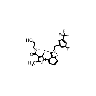 Cc1nn(-c2cccc3nn(Cc4cc(F)cc(C(F)(F)F)c4)cc23)c(C)c1C(=O)NCCO